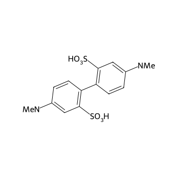 CNc1ccc(-c2ccc(NC)cc2S(=O)(=O)O)c(S(=O)(=O)O)c1